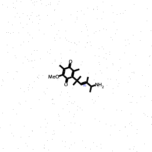 COC1=C(C)C(=O)C(C)=C(C(C)(C)/C=C(\C)C(C)N)C1=O